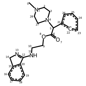 CN1CCN(C(C(=O)OCCNC2=NCc3ccccc32)c2ccccc2)CC1